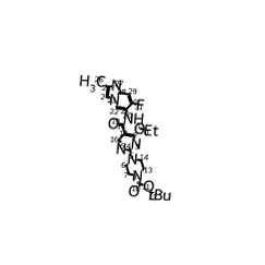 CCOc1nc(N2CCN(C(=O)OC(C)(C)C)CC2)ncc1C(=O)Nc1cn2cc(C)nc2cc1F